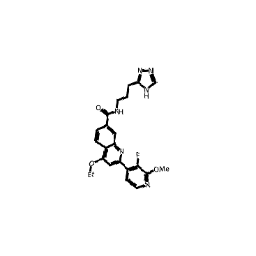 CCOc1cc(-c2ccnc(OC)c2F)nc2cc(C(=O)NCCCc3nnc[nH]3)ccc12